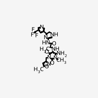 Cc1cc(Cn2c(=O)c(N[C@@H](C)C(=O)NC3=CNCC(c4cncc(C(F)(F)F)c4)=N3)c(N)n(C)c2=O)no1